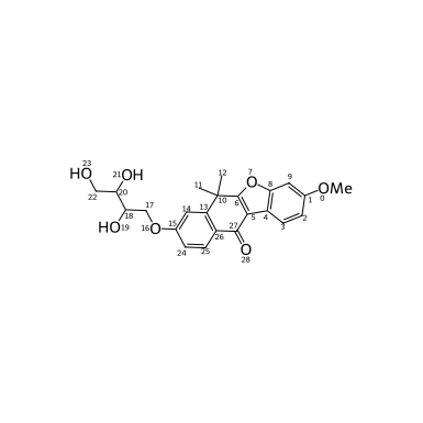 COc1ccc2c3c(oc2c1)C(C)(C)c1cc(OCC(O)C(O)CO)ccc1C3=O